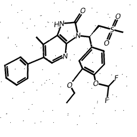 CCOc1cc([C@H](CS(C)(=O)=O)n2c(=O)[nH]c3c(C)c(-c4ccccc4)cnc32)ccc1OC(F)F